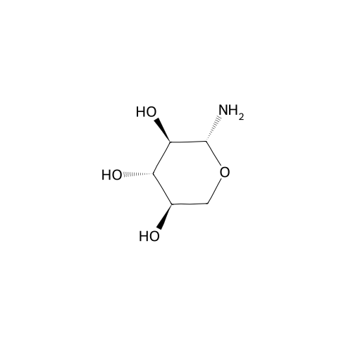 N[C@@H]1OC[C@@H](O)[C@H](O)[C@H]1O